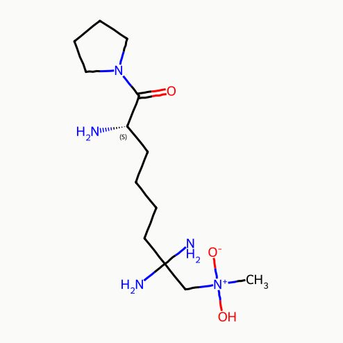 C[N+]([O-])(O)CC(N)(N)CCCC[C@H](N)C(=O)N1CCCC1